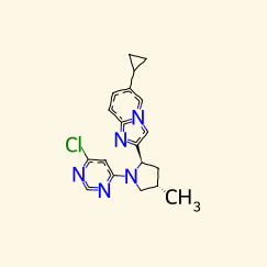 C[C@H]1C[C@H](c2cn3cc(C4CC4)ccc3n2)N(c2cc(Cl)ncn2)C1